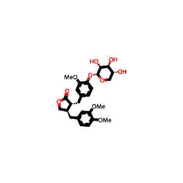 COc1ccc(C[C@H]2COC(=O)[C@@H]2Cc2ccc(O[C@H]3OC[C@@H](O)[C@H](O)[C@@H]3O)c(OC)c2)cc1OC